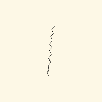 C/C=C/CC=CCCCCCCCCC